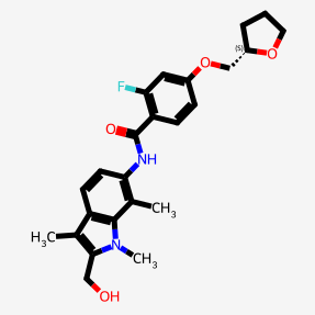 Cc1c(CO)n(C)c2c(C)c(NC(=O)c3ccc(OC[C@@H]4CCCO4)cc3F)ccc12